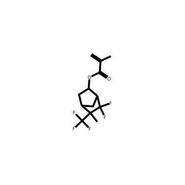 C=C(C)C(=O)OC1CC2CC1C(F)(F)C2(C)C(F)(F)F